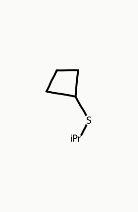 CC(C)SC1CCC1